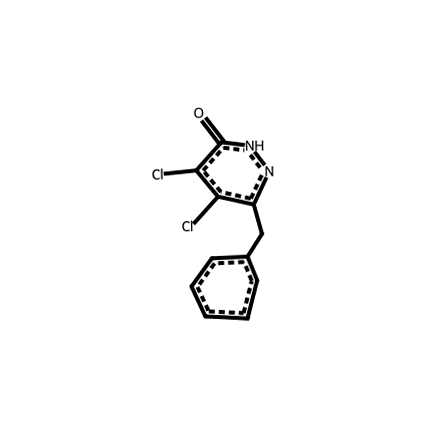 O=c1[nH]nc(Cc2ccccc2)c(Cl)c1Cl